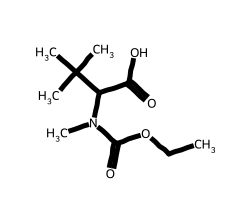 CCOC(=O)N(C)C(C(=O)O)C(C)(C)C